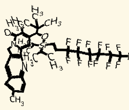 Cc1ccc2nc3c(cc2c1)Cn1c-3cc(C(O[Si](CCC(F)(F)C(F)(F)C(F)(F)C(F)(F)C(F)(F)C(F)(F)F)(C(C)C)C(C)C)C(C)(C)C)c(C)c1=O